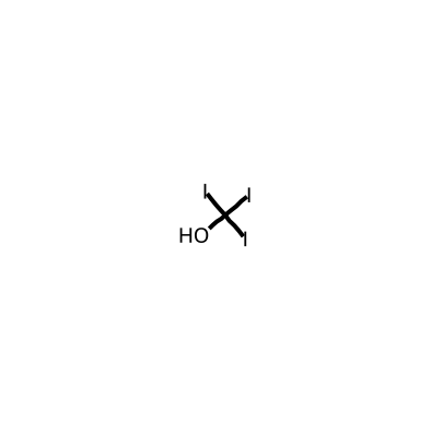 OC(I)(I)I